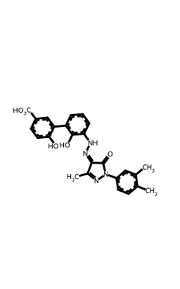 CC1=NN(c2ccc(C)c(C)c2)C(=O)C1=NNc1cccc(-c2cc(C(=O)O)ccc2O)c1O